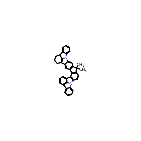 CC1(C)c2cc3c(cc2-c2c1ccc1c2c2cccc4c5ccccc5n1c42)c1c2n3-c3ccccc3C2CCC1